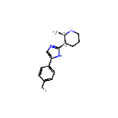 Cc1ccc(-c2cnc([C@@H]3CCCN[C@@H]3C)[nH]2)cc1